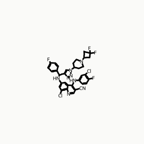 N#Cc1cnc2c(Cl)cc(NC(c3ccc(F)cc3)c3cn(C4CCN(C5CC(F)(F)C5)CC4)nn3)cc2c1Nc1ccc(F)c(Cl)c1